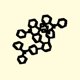 CC1(C)c2ccccc2N(c2ccccc2)c2ccc(-c3c(-c4ccc(N(c5ccccc5)c5ccccc5)cc4)cccc3-c3ccc(N(c4ccccc4)c4ccccc4)cc3)cc21